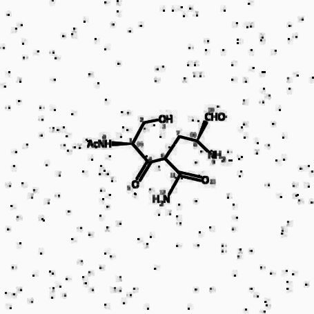 CC(=O)N[C@@H](CO)C(=O)C(C[C@H](N)[C]=O)C(N)=O